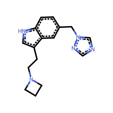 c1ncn(Cc2ccc3[nH]cc(CCN4CCC4)c3c2)n1